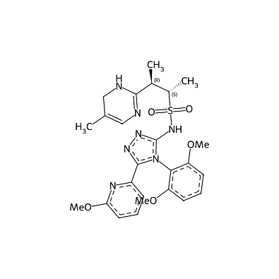 COc1cccc(-c2nnc(NS(=O)(=O)[C@@H](C)[C@H](C)C3=NC=C(C)CN3)n2-c2c(OC)cccc2OC)n1